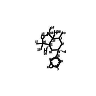 C[C@H]1C[C@@](C)(c2ccoc2)C[C@@H]2[C@@H]1N(C)OC2(C)C